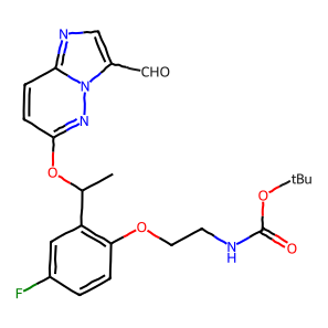 CC(Oc1ccc2ncc(C=O)n2n1)c1cc(F)ccc1OCCNC(=O)OC(C)(C)C